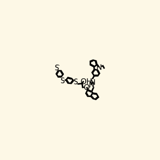 CCn1c2ccccc2c2cc(/C=N/N=C/c3c(OCC(O)CSc4ccc(Sc5ccc(SC)cc5)cc4)ccc4ccccc34)ccc21